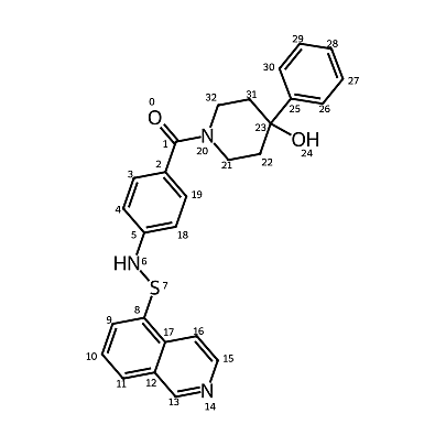 O=C(c1ccc(NSc2cccc3cnccc23)cc1)N1CCC(O)(c2ccccc2)CC1